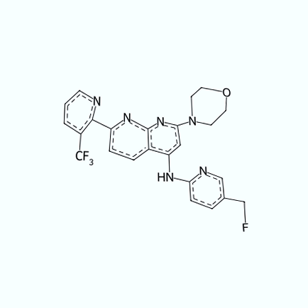 FCc1ccc(Nc2cc(N3CCOCC3)nc3nc(-c4ncccc4C(F)(F)F)ccc23)nc1